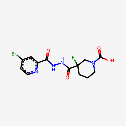 O=C(NNC(=O)C1(F)CCCN(C(=O)O)C1)c1cc(Br)ccn1